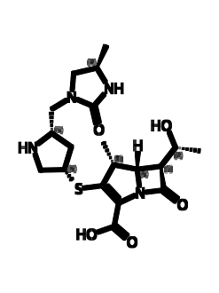 C[C@@H]1CN(C[C@@H]2C[C@H](SC3=C(C(=O)O)N4C(=O)[C@H]([C@@H](C)O)[C@H]4[C@H]3C)CN2)C(=O)N1